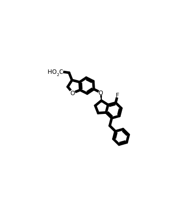 O=C(O)CC1COc2cc(O[C@@H]3CCc4c(Cc5ccccc5)ccc(F)c43)ccc21